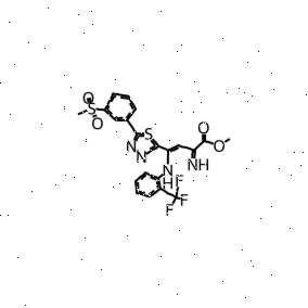 COC(=O)C(=N)/C=C(\Nc1ccccc1C(F)(F)F)c1nnc(-c2cccc(S(C)(=O)=O)c2)s1